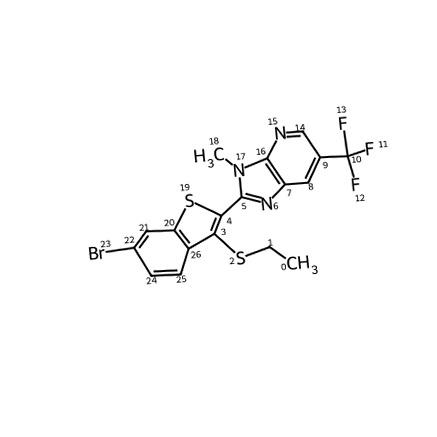 CCSc1c(-c2nc3cc(C(F)(F)F)cnc3n2C)sc2cc(Br)ccc12